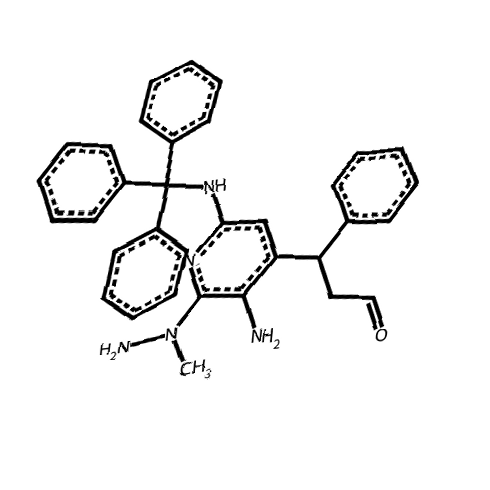 CN(N)c1nc(NC(c2ccccc2)(c2ccccc2)c2ccccc2)cc(C(CC=O)c2ccccc2)c1N